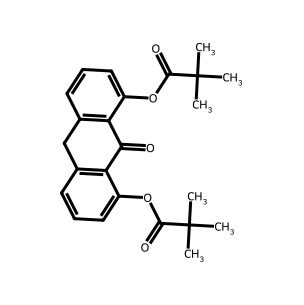 CC(C)(C)C(=O)Oc1cccc2c1C(=O)c1c(cccc1OC(=O)C(C)(C)C)C2